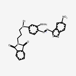 CCN(CCCN1C(=O)c2ccccc2C1=O)c1ccc(/N=N/c2snc3ccc([N+](=O)[O-])cc23)c(NC(C)=O)c1